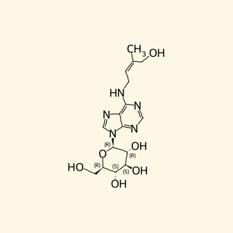 CC(=CCNc1ncnc2c1ncn2[C@@H]1O[C@H](CO)[C@@H](O)[C@H](O)[C@H]1O)CO